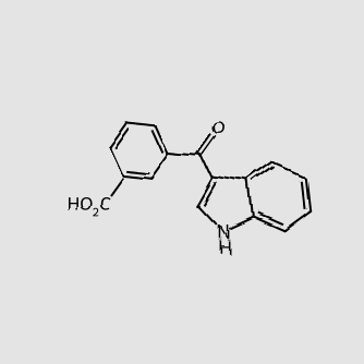 O=C(O)c1cccc(C(=O)c2c[nH]c3ccccc23)c1